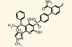 CC(C)N(c1ccccc1)c1c(-c2ccn(C)n2)nc(O)c(S(=O)(=O)c2ccc(-c3ccc(F)cc3C(N)=O)cc2)c1O